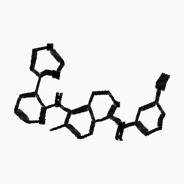 C#Cc1cccc(Nc2nccc3c(Nc4ncccc4-c4ccncn4)c(C)ccc23)c1